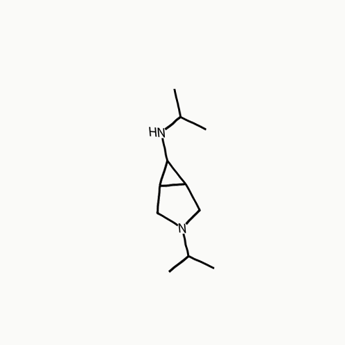 CC(C)NC1C2CN(C(C)C)CC21